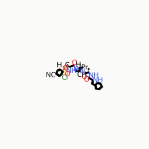 CC(C)C[C@H](NC(=O)c1cc2ccccc2[nH]1)C(=O)N1C[C@H]2N(C(=O)[C@H](C)NS(=O)(=O)c3ccc(C#N)cc3Cl)CC21C